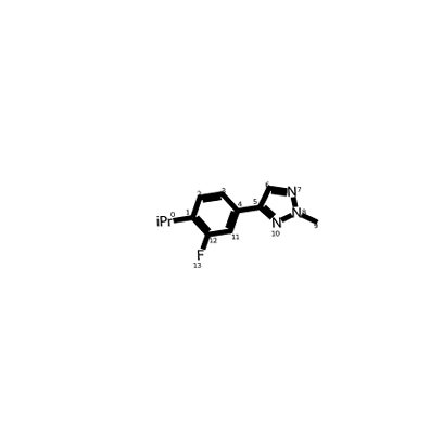 CC(C)c1ccc(-c2cnn(C)n2)cc1F